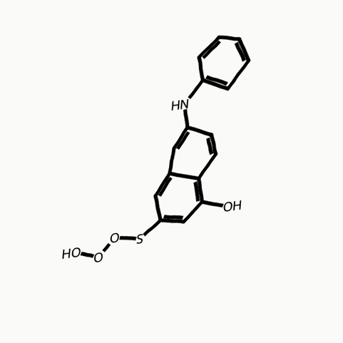 OOOSc1cc(O)c2ccc(Nc3ccccc3)cc2c1